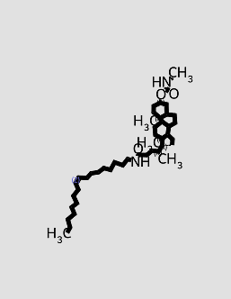 CCCCCCCC/C=C\CCCCCCCCNC(=O)CC[C@@H](C)[C@H]1CCC2C3CCC4C[C@H](OC(=O)NCC)CC[C@]4(C)C3CC[C@@]21C